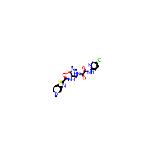 CN1CCc2sc(C(=O)NC(CNC(=O)C(=O)Nc3ccc(Cl)cn3)C(=O)N(C)C)nc2C1